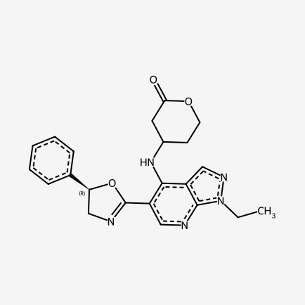 CCn1ncc2c(NC3CCOC(=O)C3)c(C3=NC[C@@H](c4ccccc4)O3)cnc21